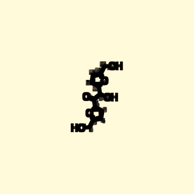 O=C(c1ccc(CO)o1)C(O)c1ccc(CO)o1